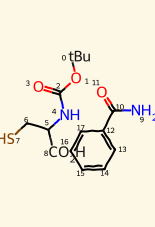 CC(C)(C)OC(=O)NC(CS)C(=O)O.NC(=O)c1ccccc1